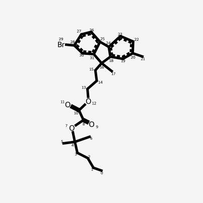 CCCCC(C)(C)OC(=O)C(=O)OCCCC1(C)c2cc(C)ccc2-c2ccc(Br)cc21